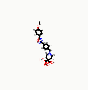 CCOc1ccc(-c2nc(-c3ccc(CN4CCC(C(=O)O)(C(=O)O)CC4)cc3)no2)cc1